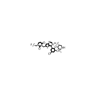 Cc1cc(Cl)cc(-c2ncnc3cc(Cn4c(=O)ccn(CC(F)(F)F)c4=O)sc23)c1O[C@H]1CCNC[C@H]1C